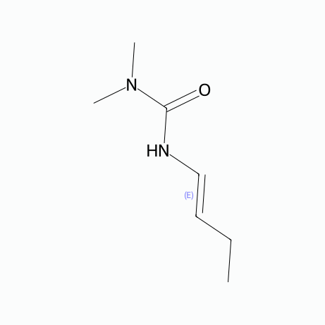 CC/C=C/NC(=O)N(C)C